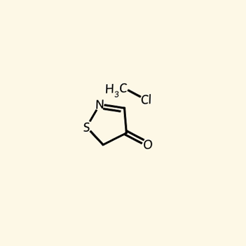 CCl.O=C1C=NSC1